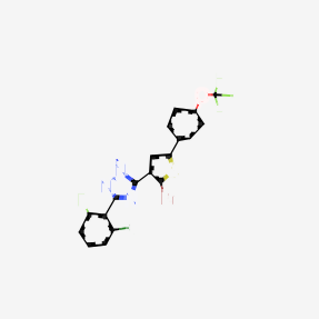 Cn1nc(-c2c(F)cccc2Cl)nc1-c1cc(-c2ccc(OC(F)(F)F)cc2)sc1Br